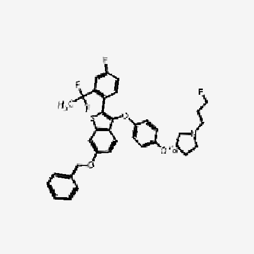 CC(F)(F)c1cc(F)ccc1-c1sc2cc(OCc3ccccc3)ccc2c1Oc1ccc(O[C@H]2CCN(CCCF)C2)cc1